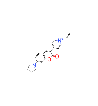 C=CC[n+]1ccc(-c2cc3ccc(N4CCCC4)cc3oc2=O)cc1